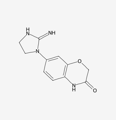 N=C1NCCN1c1ccc2c(c1)OCC(=O)N2